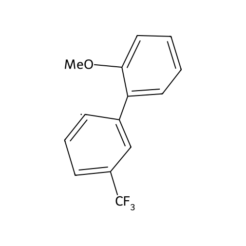 COc1ccccc1-c1[c]ccc(C(F)(F)F)c1